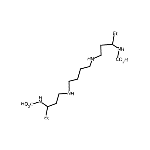 CCC(CCNCCCCNCCC(CC)NC(=O)O)NC(=O)O